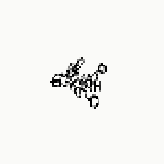 O=C(N[C@@H](Cc1ccccc1)C(=O)N[C@@H](CC1CC(Cl)=NO1)C(=O)NCc1ccccc1)OCc1ccccc1